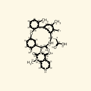 Cc1cc2cc(c1F)[C@H](CC(=O)O)NC(=O)[C@@H](n1c(=O)c3ccncc3n(C)c1=O)c1cc(ccc1F)Oc1cccc(C)c1-2